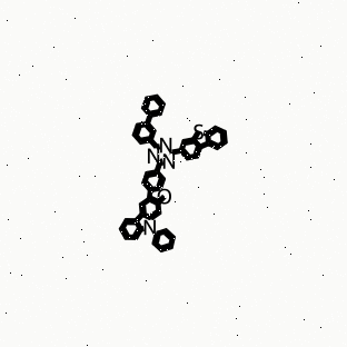 c1ccc(-c2cccc(-c3nc(-c4ccc5c(c4)oc4cc6c(cc45)c4ccccc4n6-c4ccccc4)nc(-c4ccc5c(c4)sc4ccccc45)n3)c2)cc1